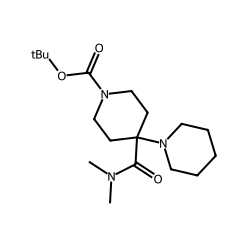 CN(C)C(=O)C1(N2CCCCC2)CCN(C(=O)OC(C)(C)C)CC1